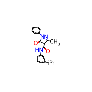 CC1=NN(c2ccccc2)C(=O)C1C(=O)Nc1cccc(C(C)C)c1